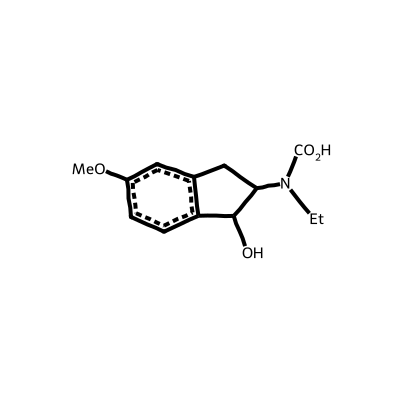 CCN(C(=O)O)C1Cc2cc(OC)ccc2C1O